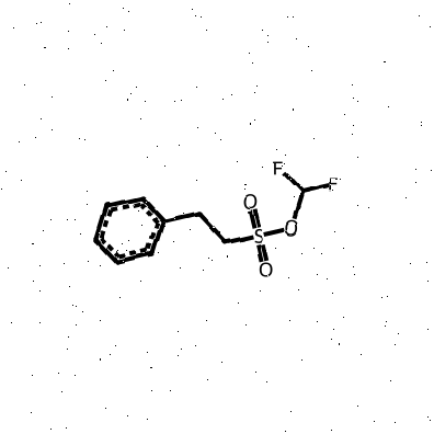 O=S(=O)(CCc1ccccc1)OC(F)F